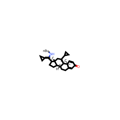 CCCCNC(=C1CC1)C1CCC2[C@H]3CCC4=CC(=O)C=C[C@]4(C)C3C(C3CC3)CC12C